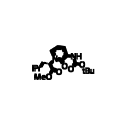 COC(=O)[C@H](CC(C)C)n1cccc(NC(=O)OC(C)(C)C)c1=O